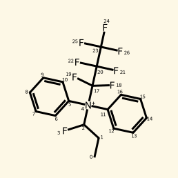 CCC(F)[N+](c1ccccc1)(c1ccccc1)C(F)(F)C(F)(F)C(F)(F)F